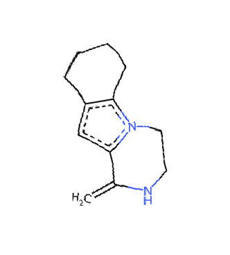 C=C1NCCn2c1cc1c2CCCC1